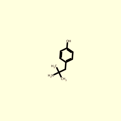 CC(C)(N)Cc1ccc(O)cc1